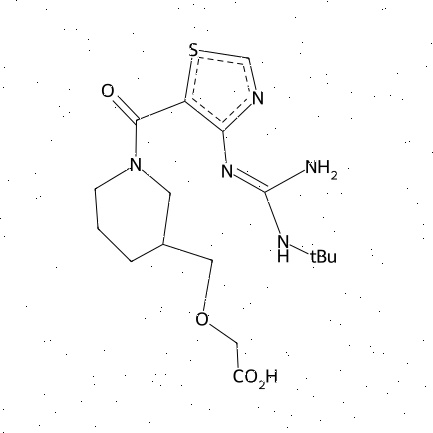 CC(C)(C)N/C(N)=N/c1ncsc1C(=O)N1CCCC(COCC(=O)O)C1